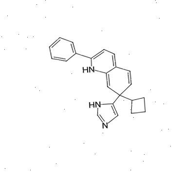 C1=CC(c2cnc[nH]2)(C2CCC2)C=C2NC(c3ccccc3)=CC=C12